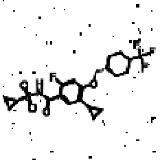 O=C(NS(=O)(=O)C1CC1)c1cc(C2CC2)c(OC[C@H]2CC[C@H](C(F)(F)F)CC2)cc1F